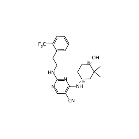 CC1(C)C[C@H](Nc2nc(NCCc3ccccc3C(F)(F)F)ncc2C#N)CC[C@@H]1O